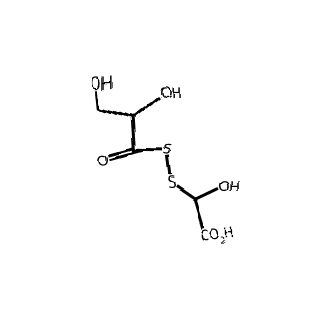 O=C(SSC(O)C(=O)O)C(O)CO